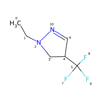 CCN1[CH]C(C(F)(F)F)[C]=N1